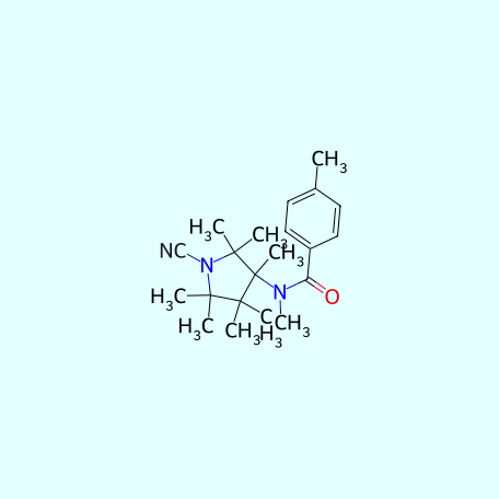 Cc1ccc(C(=O)N(C)C2(C)C(C)(C)N(C#N)C(C)(C)C2(C)C)cc1